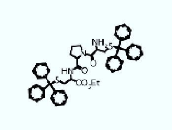 CCOC(=O)C(CSC(c1ccccc1)(c1ccccc1)c1ccccc1)NC(=O)C1CCCN1C(=O)C(N)CSC(c1ccccc1)(c1ccccc1)c1ccccc1